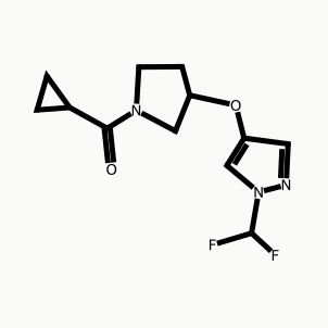 O=C(C1CC1)N1CCC(Oc2cnn(C(F)F)c2)C1